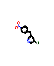 O=[N+]([O-])c1ccc([CH]c2cncc(Cl)c2)cc1